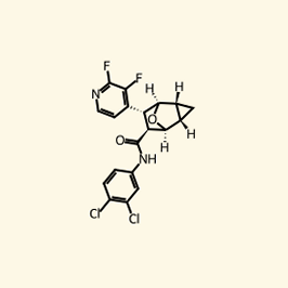 O=C(Nc1ccc(Cl)c(Cl)c1)[C@@H]1[C@H]2O[C@H]([C@@H]3C[C@@H]32)[C@H]1c1ccnc(F)c1F